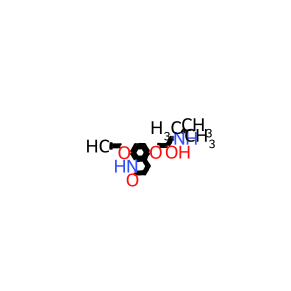 C#CCOc1ccc(OCC(O)CNC(C)(C)C)c2c1NC(=O)CC2